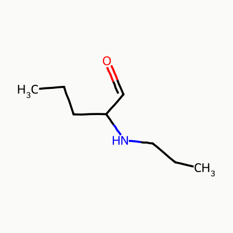 CCCNC(C=O)CCC